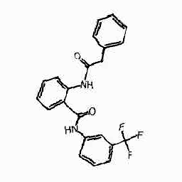 O=C(Cc1ccccc1)Nc1ccccc1C(=O)Nc1cccc(C(F)(F)F)c1